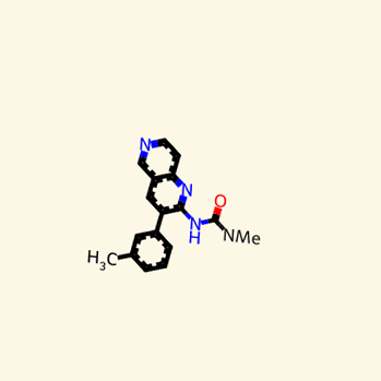 CNC(=O)Nc1nc2ccncc2cc1-c1cccc(C)c1